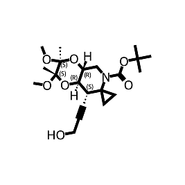 CO[C@@]1(C)O[C@@H]2[C@@H](C#CCO)C3(CC3)N(C(=O)OC(C)(C)C)C[C@H]2O[C@]1(C)OC